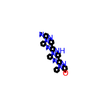 CN(C)c1ccc2nc3ccc(-c4cc5c(cc4N(C)C)N(c4ccccc4)c4cc(-c6cc7nc8ccc(=O)cc-8n(-c8ccccc8)c7cc6N(C)C)ccc4N5)cc3[n+](-c3ccccc3)c2c1